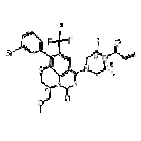 C=CC(=O)N1[C@H](C)CN(c2nc(=O)n3c4c(c(-c5cccc(Br)c5)c(C(F)(F)F)cc24)SC[C@@H]3COC)C[C@@H]1C